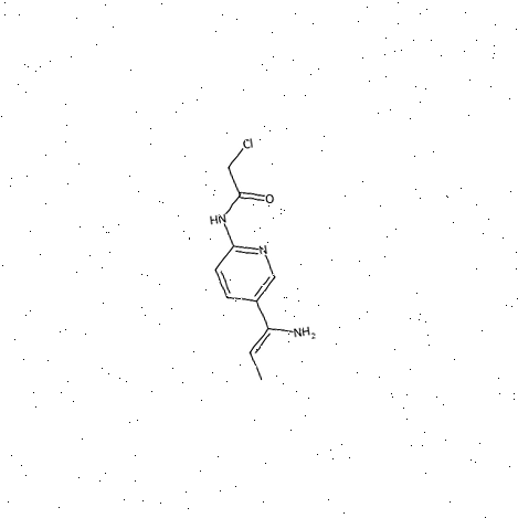 C/C=C(\N)c1ccc(NC(=O)CCl)nc1